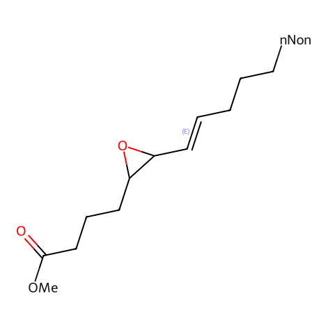 CCCCCCCCCCCC/C=C/C1OC1CCCC(=O)OC